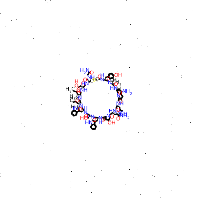 CCCC[C@H]1C(=O)N(C)[C@@H](CCCC)C(=O)N[C@@H](CC(=O)O)C(=O)N[C@H](C(=O)NCC(N)=O)CSCC(=O)N[C@@H](Cc2ccc(O)cc2)C(=O)N(C)[C@@H](C)C(=O)N[C@H]2CC(N)=C3CC[C@@H](C(=O)N[C@@H](Cc4c[nH]cn4)C(=O)N[C@@H](CCC(N)=O)C(=O)N4C[C@H](O)C[C@H]4C(=O)N[C@@H](Cc4c[nH]c5ccccc45)C(=O)N[C@@H](CO)C(=O)N[C@@H](Cc4c[nH]c5ccccc45)C(=O)N1C)N3C2=O